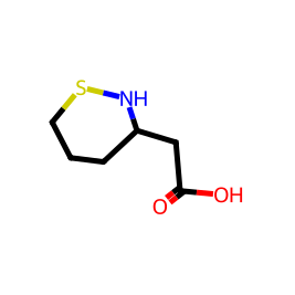 O=C(O)CC1CCCSN1